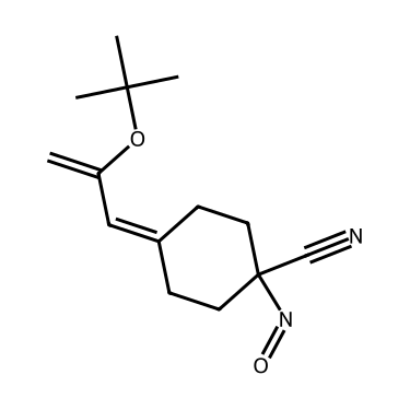 C=C(C=C1CCC(C#N)(N=O)CC1)OC(C)(C)C